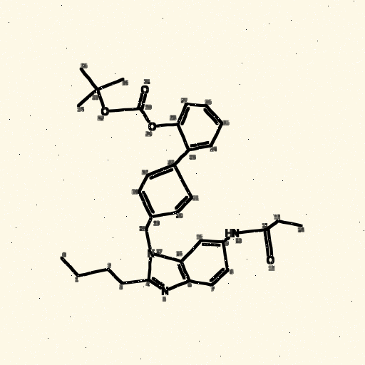 CCCCc1nc2ccc(NC(=O)CC)cc2n1Cc1ccc(-c2ccccc2OC(=O)OC(C)(C)C)cc1